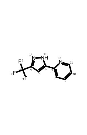 FC(F)(F)c1cc(-c2ccccn2)[nH]n1